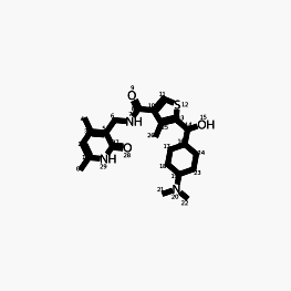 Cc1cc(C)c(CNC(=O)c2csc(C(O)C3CCC(N(C)C)CC3)c2C)c(=O)[nH]1